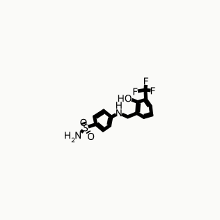 NS(=O)(=O)c1ccc(NCc2cccc(C(F)(F)F)c2O)cc1